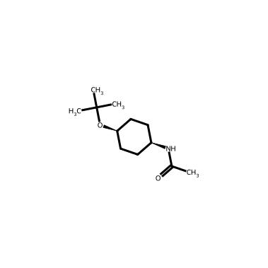 CC(=O)N[C@H]1CC[C@@H](OC(C)(C)C)CC1